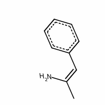 CC(N)=Cc1ccccc1